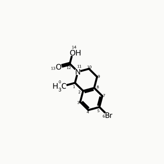 CC1c2ccc(Br)cc2CCN1C(=O)O